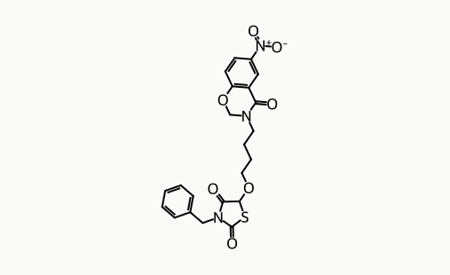 O=C1c2cc([N+](=O)[O-])ccc2OCN1CCCCOC1SC(=O)N(Cc2ccccc2)C1=O